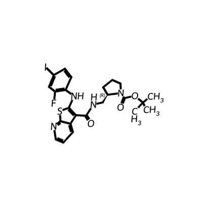 CC(C)(C)OC(=O)N1CCC[C@@H]1CNC(=O)c1c(Nc2ccc(I)cc2F)sc2ncccc12